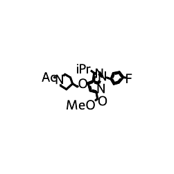 COC(=O)c1cc(OCC2CCN(C(C)=O)CC2)c2c(C(C)C)nn(-c3ccc(F)cc3)c2n1